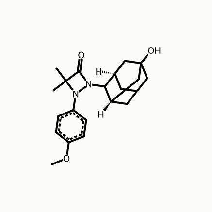 COc1ccc(N2N(C3[C@@H]4CC5C[C@H]3CC(O)(C5)C4)C(=O)C2(C)C)cc1